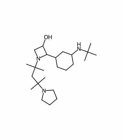 CC(C)(C)NC1CCCC(C2C(O)CN2C(C)(C)CC(C)(C)N2CCCC2)C1